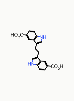 O=C(O)c1ccc2[nH]cc(CCc3c[nH]c4ccc(C(=O)O)cc34)c2c1